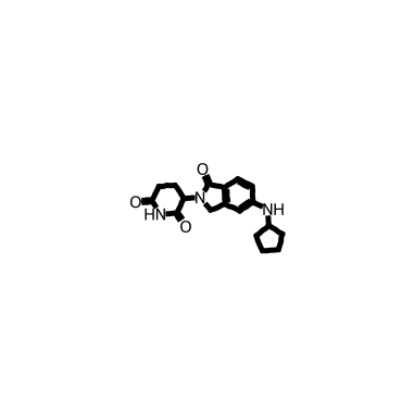 O=C1CCC(N2Cc3cc(NC4CCCC4)ccc3C2=O)C(=O)N1